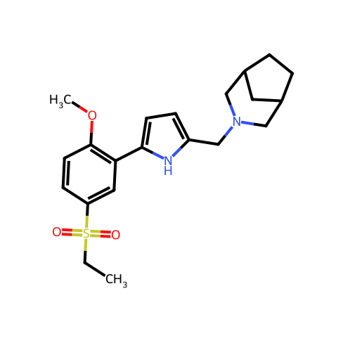 CCS(=O)(=O)c1ccc(OC)c(-c2ccc(CN3CC4CCC(C4)C3)[nH]2)c1